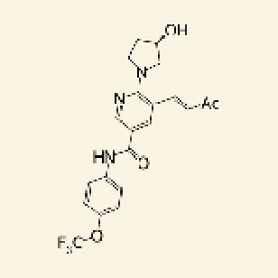 CC(=O)C=Cc1cc(C(=O)Nc2ccc(OC(F)(F)F)cc2)cnc1N1CC[C@@H](O)C1